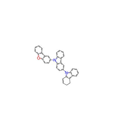 C1=Cc2c(c3ccccc3n2-c2ccc3c(c2)c2ccccc2n3-c2ccc3oc4ccccc4c3c2)CC1